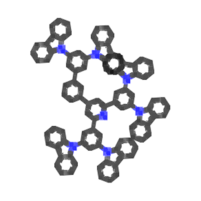 c1cc(-c2cc(-n3c4ccccc4c4ccccc43)cc(-n3c4ccccc4c4ccccc43)c2)cc(-c2cc(-c3cc(-n4c5ccccc5c5ccccc54)cc(-n4c5ccccc5c5ccccc54)c3)nc(-c3cc(-n4c5ccccc5c5ccccc54)cc(-n4c5ccccc5c5ccccc54)c3)c2)c1